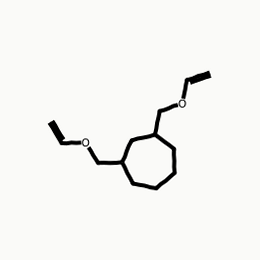 C=COCC1CCCCC(COC=C)C1